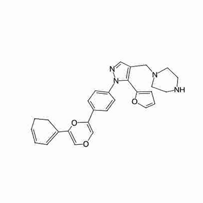 C1=CCCC(C2=COC=C(c3ccc(-n4ncc(CN5CCNCC5)c4-c4ccco4)cc3)O2)=C1